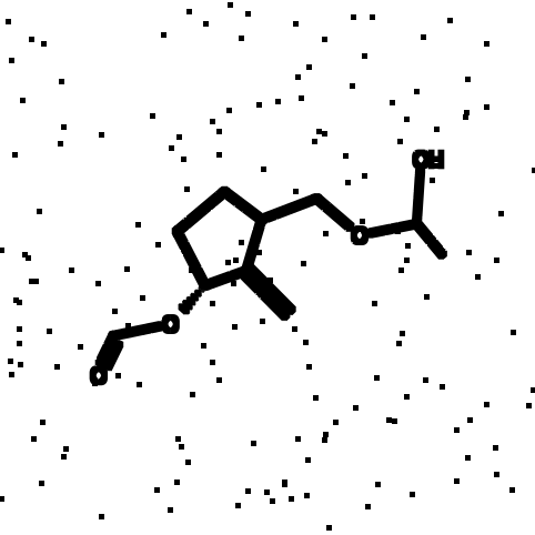 C=C1C(COC(C)O)CC[C@H]1OC=O